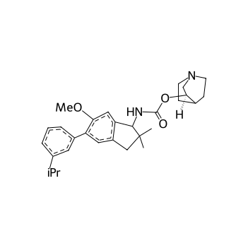 COc1cc2c(cc1-c1cccc(C(C)C)c1)CC(C)(C)C2NC(=O)O[C@H]1CN2CCC1CC2